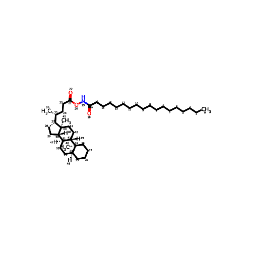 CCCCCCCCCCCCCCCCCC(=O)NOC(=O)CC[C@@H](C)[C@H]1CC[C@H]2[C@@H]3CC[C@@H]4CCCC[C@]4(C)[C@H]3CC[C@]12C